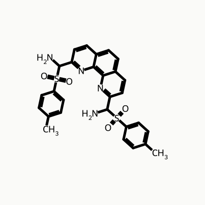 Cc1ccc(S(=O)(=O)C(N)c2ccc3ccc4ccc(C(N)S(=O)(=O)c5ccc(C)cc5)nc4c3n2)cc1